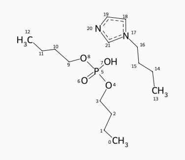 CCCCOP(=O)(O)OCCCC.CCCCn1ccnc1